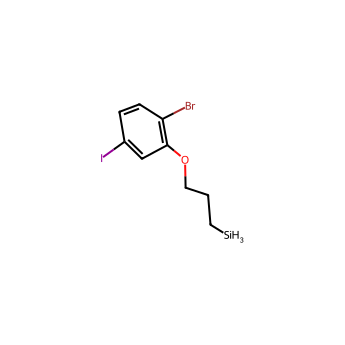 [SiH3]CCCOc1cc(I)ccc1Br